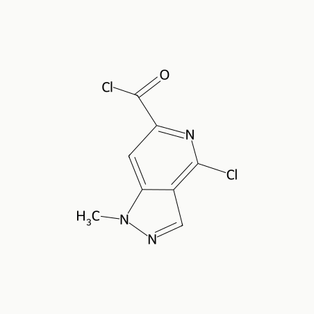 Cn1ncc2c(Cl)nc(C(=O)Cl)cc21